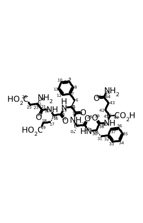 C[C@H](NC(=O)[C@H](Cc1ccccc1)NC(=O)[C@H](CCC(=O)O)NC(=O)[C@@H](N)CC(=O)O)C(=O)N[C@@H](Cc1ccccc1)C(=O)N[C@@H](CCC(N)=O)C(=O)O